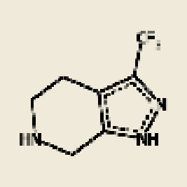 FC(F)(F)c1n[nH]c2c1CCNC2